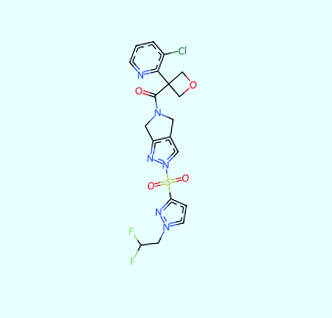 O=C(N1Cc2cn(S(=O)(=O)c3ccn(CC(F)F)n3)nc2C1)C1(c2ncccc2Cl)COC1